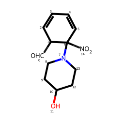 O=CC1C=CC=CC1(N1CCC(O)CC1)[N+](=O)[O-]